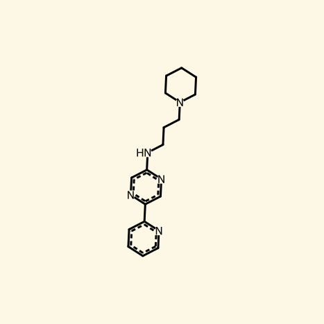 c1ccc(-c2cnc(NCCCN3CCCCC3)cn2)nc1